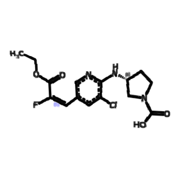 CCOC(=O)/C(F)=C\c1cnc(N[C@@H]2CCN(C(=O)O)C2)c(Cl)c1